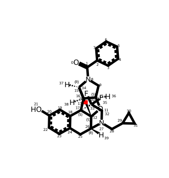 O=C(c1ccccc1)N1C[C@H]2O[C@@]34CC[C@@H]1[C@@H]2[C@]31c2cc(O)ccc2C[C@H]4N(CC2CC2)CC1(F)F